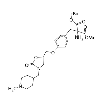 COC(=O)C(N)(Cc1ccc(OCC2CN(CC3CCN(C)CC3)C(=O)O2)cc1)C(=O)OC(C)(C)C